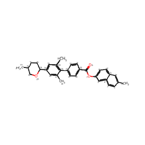 Cc1ccc2cc(OC(=O)c3ccc(-c4c(C)cc(C5CCC(C)CO5)cc4C)cc3)ccc2c1